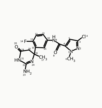 Cn1nc(Cl)cc1C(=O)Nc1ccc(F)c(C2(C)CC(=O)NC(N)=N2)c1